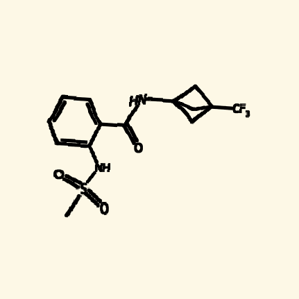 CS(=O)(=O)Nc1ccccc1C(=O)NC12CC(C(F)(F)F)(C1)C2